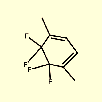 CC1=CC=C(C)C(F)(F)C1(F)F